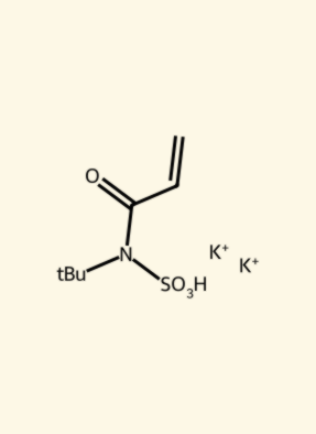 C=CC(=O)N(C(C)(C)C)S(=O)(=O)O.[K+].[K+]